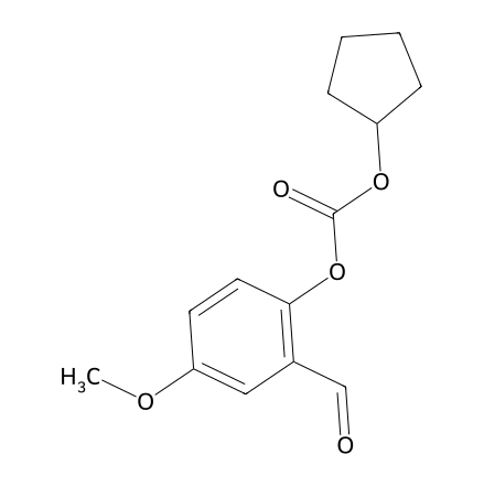 COc1ccc(OC(=O)OC2CCCC2)c(C=O)c1